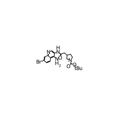 CC(C)(C)OC(=O)N1CCC(CC(=O)Nc2cnc3cc(Br)ccc3c2N)C1